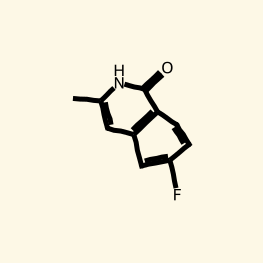 Cc1cc2cc(F)ccc2c(=O)[nH]1